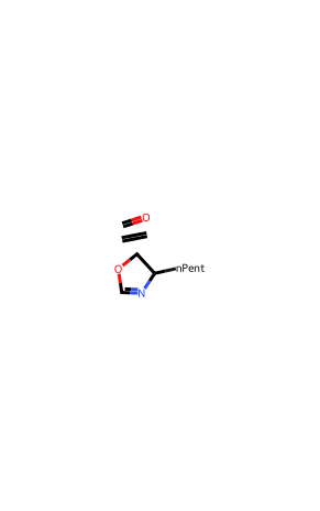 C=C.C=O.CCCCCC1COC=N1